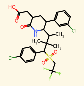 CC(C1NC(=O)C(CC(=O)O)CC1c1cccc(Cl)c1)C(C)(C)C(c1ccc(Cl)cc1)S(=O)(=O)CC(F)(F)F